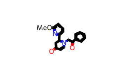 COc1cccc(C2CC(=O)C=CN2CC(=O)c2ccccc2)n1